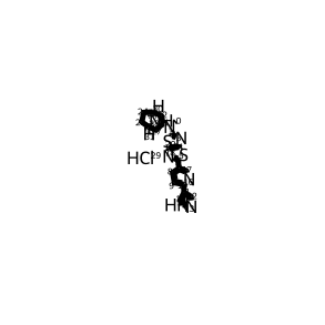 CN(c1nc2sc(-c3ccc(-c4cn[nH]c4)nc3)nc2s1)C1C[C@H]2CC[C@@H](C1)N2.Cl